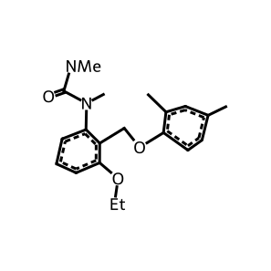 CCOc1cccc(N(C)C(=O)NC)c1COc1ccc(C)cc1C